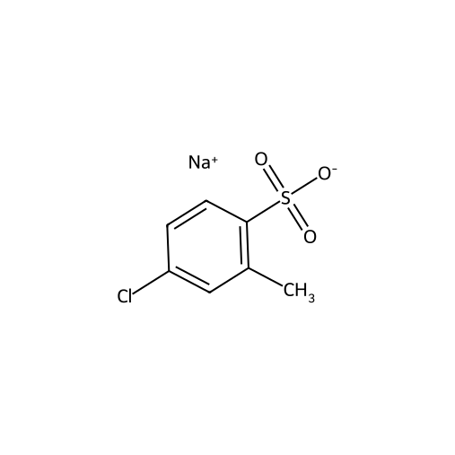 Cc1cc(Cl)ccc1S(=O)(=O)[O-].[Na+]